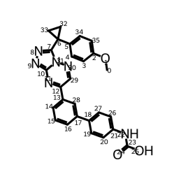 COc1ccc(C2(c3nnc4nc(-c5cccc(-c6ccc(NC(=O)O)cc6)c5)cnn34)CC2)cc1